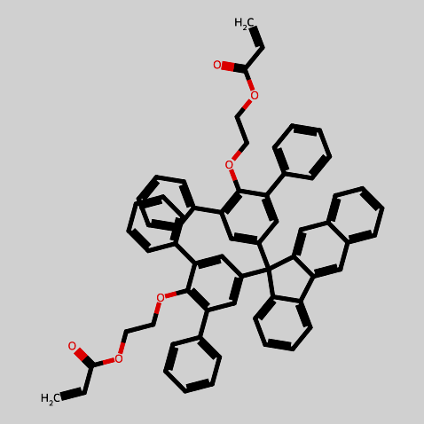 C=CC(=O)OCCOc1c(-c2ccccc2)cc(C2(c3cc(-c4ccccc4)c(OCCOC(=O)C=C)c(-c4ccccc4)c3)c3ccccc3-c3cc4ccccc4cc32)cc1-c1ccccc1